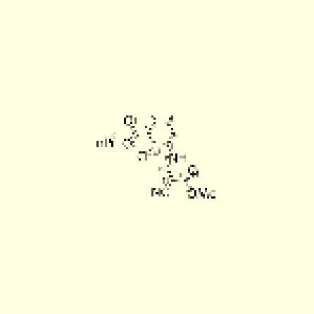 CCCOC(=O)c1cccc(NC=C(C#N)C(=O)OC)c1Cl